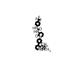 CN(c1ncccc1-c1ccc(N2CCC[C@@H](NC(=O)Nc3ccc(C(F)(F)F)cc3)C2=O)cc1)S(C)(=O)=O